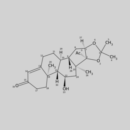 CC(=O)[C@@]12OC(C)(C)O[C@@H]1C[C@H]1[C@@H]3CCC4=CC(=O)CC[C@]4(C)[C@H]3[C@H](O)C[C@@]12C